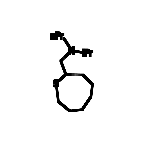 CCCN(CC1CCCCCCS1)C(C)C